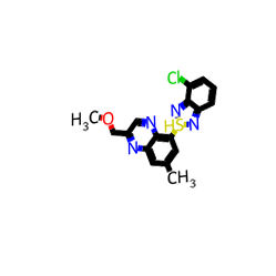 COCc1cnc2c([SH]3N=c4cccc(Cl)c4=N3)cc(C)cc2n1